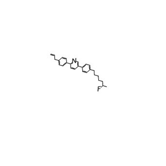 C=CCc1ccc(-c2ccc(-c3ccc(CCCCCC(C)F)cc3)cn2)cc1